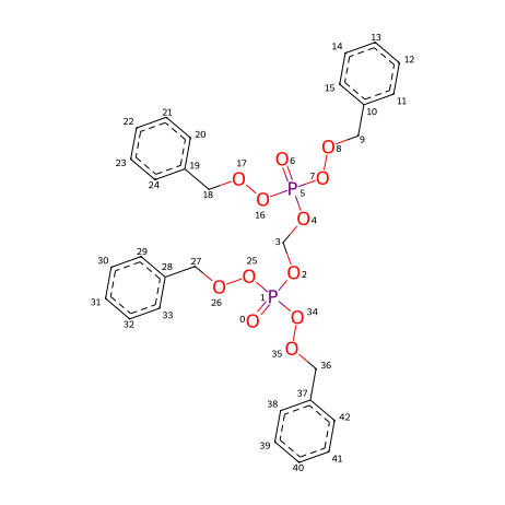 O=P(OCOP(=O)(OOCc1ccccc1)OOCc1ccccc1)(OOCc1ccccc1)OOCc1ccccc1